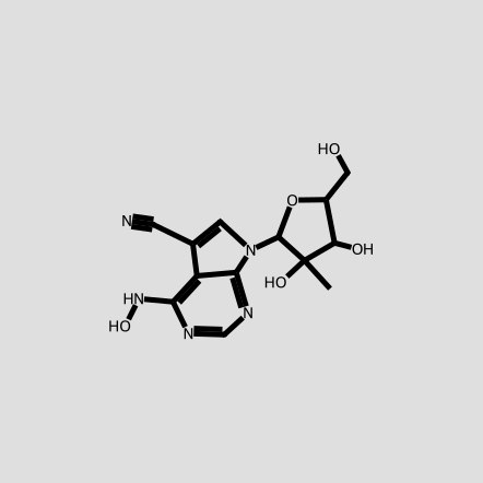 CC1(O)C(O)C(CO)OC1n1cc(C#N)c2c(NO)ncnc21